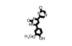 COc1cc(-c2cc(-c3cncc(Cl)n3)nc(=O)[nH]2)ccc1O